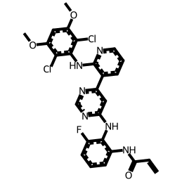 C=CC(=O)Nc1cccc(F)c1Nc1cc(-c2cccnc2Nc2c(Cl)c(OC)cc(OC)c2Cl)ncn1